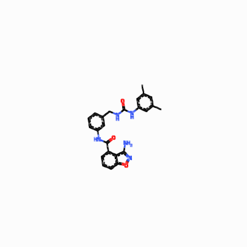 Cc1cc(C)cc(NC(=O)NCc2cccc(NC(=O)c3cccc4onc(N)c34)c2)c1